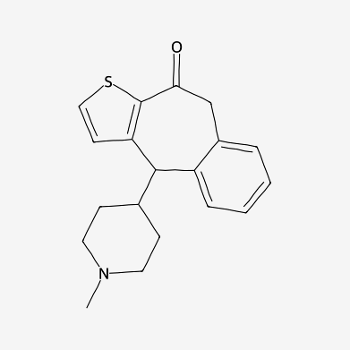 CN1CCC(C2c3ccccc3CC(=O)c3sccc32)CC1